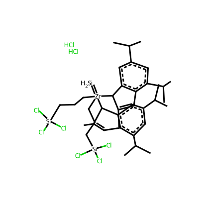 CC1=Cc2c(C(C)C)cc(C(C)C)cc2[CH]1[Zr](=[SiH2])([CH2]CC[Si](Cl)(Cl)Cl)([CH2]CC[Si](Cl)(Cl)Cl)[CH]1C(C)=Cc2c(C(C)C)cc(C(C)C)cc21.Cl.Cl